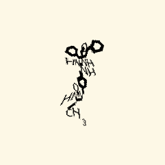 CCC[C@H]1CN(Cc2ccc(CNC(=N)NC(C=O)(CCC3CCCCC3)CC3CCCCC3)cc2)C(=O)N1